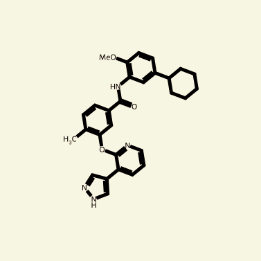 COc1ccc(C2CCCCC2)cc1NC(=O)c1ccc(C)c(Oc2ncccc2-c2cn[nH]c2)c1